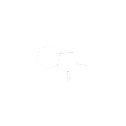 CN1C(=O)C2=CCCCC2C1=O